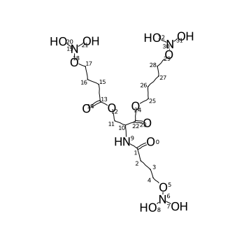 O=C(CCCON(O)O)NC(COC(=O)CCCON(O)O)C(=O)OCCCCON(O)O